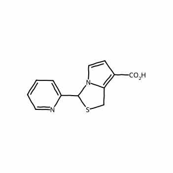 O=C(O)c1ccn2c1CSC2c1ccccn1